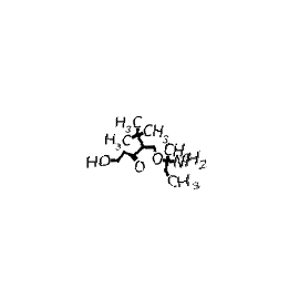 CCC(C)(N)OCC(C(=O)CCO)C(C)(C)C